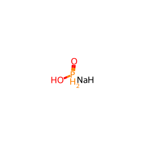 O=[PH2]O.[NaH]